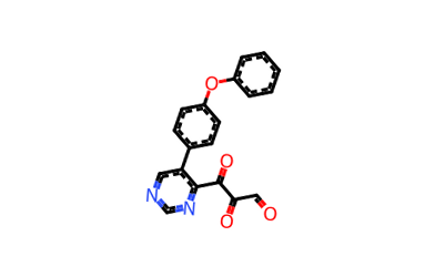 O=CC(=O)C(=O)c1ncncc1-c1ccc(Oc2ccccc2)cc1